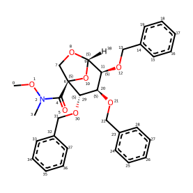 CON(C)C(=O)[C@@]12CO[C@@H](O1)[C@@H](OCc1ccccc1)[C@@H](OCc1ccccc1)[C@@H]2OCc1ccccc1